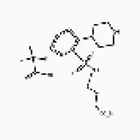 CCOC(=O)CCCNS(=O)(=O)c1ccccc1C1CCNCC1.O=C(O)C(F)(F)F